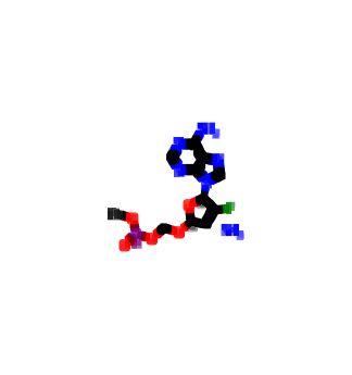 CCO[PH](=O)OCO[C@@H]1C=C(F)[C@H](n2cnc3c(N)ncnc32)O1.N